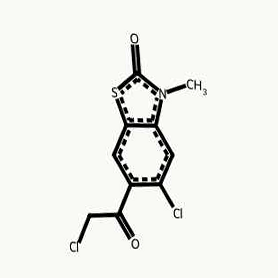 Cn1c(=O)sc2cc(C(=O)CCl)c(Cl)cc21